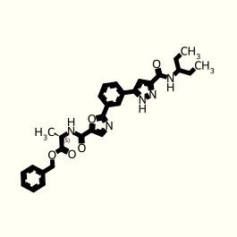 CCC(CC)NC(=O)c1cc(-c2cccc(-c3ncc(C(=O)N[C@@H](C)C(=O)OCc4ccccc4)o3)c2)[nH]n1